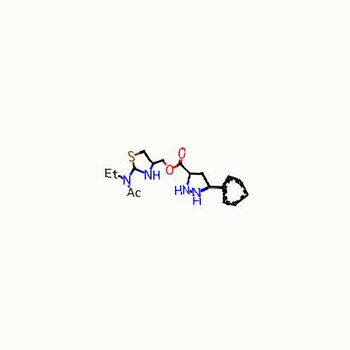 CCN(C(C)=O)C1NC(COC(=O)C2CC(c3ccccc3)NN2)CS1